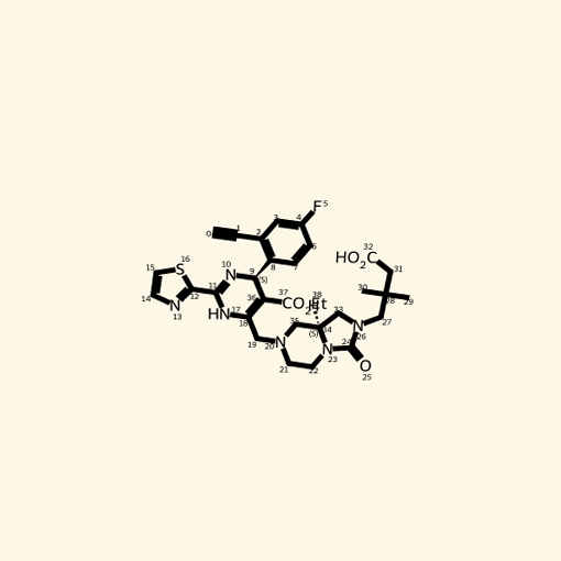 C#Cc1cc(F)ccc1[C@@H]1N=C(c2nccs2)NC(CN2CCN3C(=O)N(CC(C)(C)CC(=O)O)C[C@@H]3C2)=C1C(=O)OCC